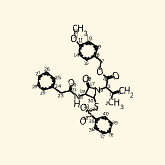 C=C(C)C(C(=O)OCc1ccc(OC)cc1)N1C(=O)C(NC(=O)Cc2ccccc2)C1SS(=O)(=O)c1ccccc1